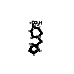 O=C(O)N1CCN(Cc2nccs2)CC1